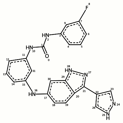 O=C(Nc1cccc(F)c1)Nc1cccc(Nc2ccc3c(-c4cn[nH]c4)n[nH]c3c2)c1